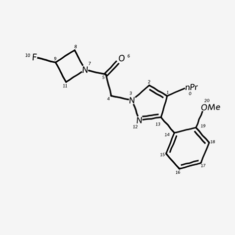 CCCc1cn(CC(=O)N2CC(F)C2)nc1-c1ccccc1OC